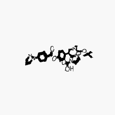 CN(CC(c1ccc(OC(=O)c2ccc(-n3cccn3)cc2)cc1)c1nccn1C(=O)O)C(=O)OC(C)(C)C